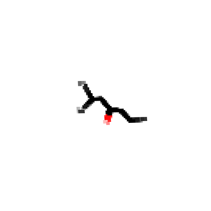 CCC(CC)CC(=O)CCC(C)=O